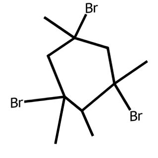 CC1C(C)(Br)CC(C)(Br)CC1(C)Br